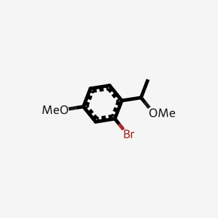 COc1ccc(C(C)OC)c(Br)c1